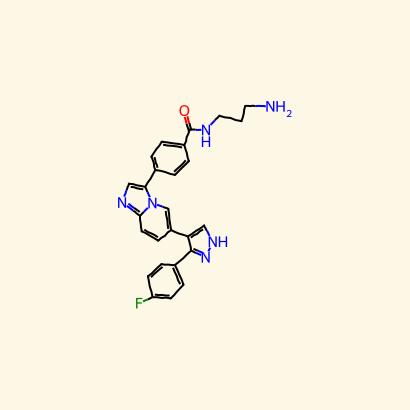 NCCCNC(=O)c1ccc(-c2cnc3ccc(-c4c[nH]nc4-c4ccc(F)cc4)cn23)cc1